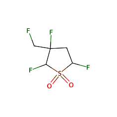 O=S1(=O)C(F)CC(F)(CF)C1F